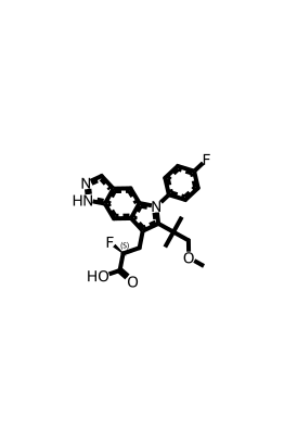 COCC(C)(C)c1c(C[C@H](F)C(=O)O)c2cc3[nH]ncc3cc2n1-c1ccc(F)cc1